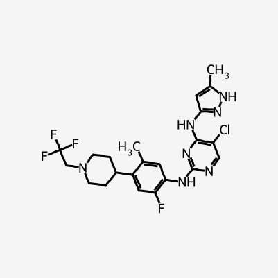 Cc1cc(Nc2nc(Nc3cc(C)c(C4CCN(CC(F)(F)F)CC4)cc3F)ncc2Cl)n[nH]1